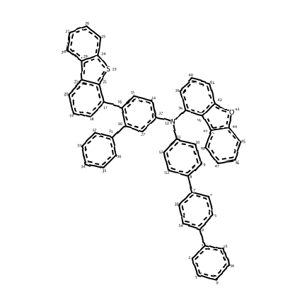 c1ccc(-c2ccc(-c3ccc(N(c4ccc(-c5cccc6c5sc5ccccc56)c(-c5ccccc5)c4)c4cccc5oc6ccccc6c45)cc3)cc2)cc1